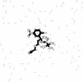 CC(C)(C)[S@+]([O-])N[C@@](C)(CCOCC#N)c1cc([N+](=O)[O-])ccc1F